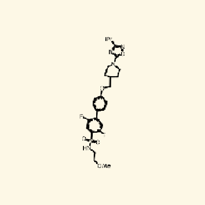 COCCNS(=O)(=O)c1cc(F)c(-c2ccc(OCC3CCN(c4nc(C(C)C)no4)CC3)cc2)cc1F